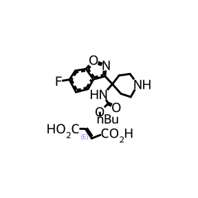 CCCCOC(=O)NC1(c2noc3cc(F)ccc23)CCNCC1.O=C(O)/C=C/C(=O)O